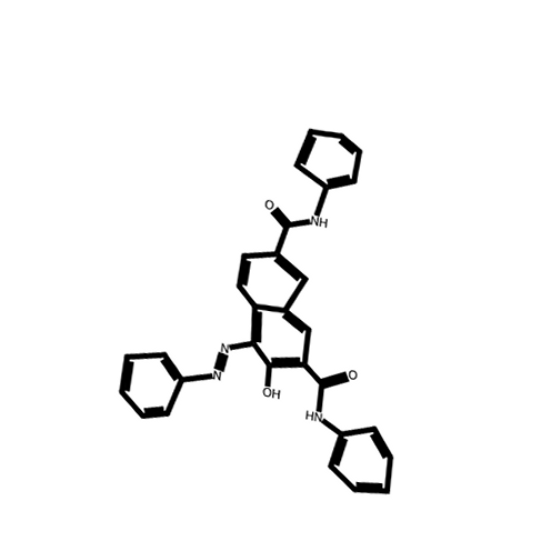 O=C(Nc1ccccc1)c1ccc2c(/N=N/c3ccccc3)c(O)c(C(=O)Nc3ccccc3)cc2c1